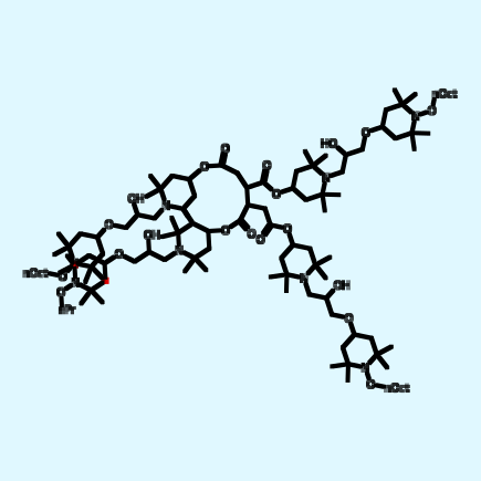 CCCCCCCCON1C(C)(C)CC(OCC(O)CN2C(C)(C)CC(OC(=O)CC3C(=O)OC4CC(C)(C)N(CC(O)COC5CC(C)(C)N(OCCC)C(C)(C)C5)C(C)(C)C4C4(C)CC(CC(C)(C)N4CC(O)COC4CC(C)(C)N(OCCCCCCCC)C(C)(C)C4)OC(=O)CC3C(=O)OC3CC(C)(C)N(CC(O)COC4CC(C)(C)N(OCCCCCCCC)C(C)(C)C4)C(C)(C)C3)CC2(C)C)CC1(C)C